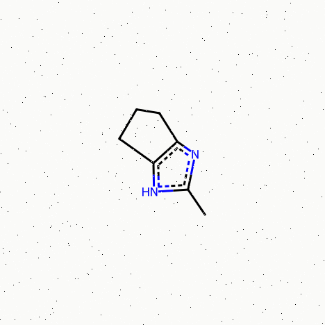 Cc1nc2c([nH]1)CCC2